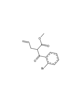 C=CCC(C(=O)OC)C(=O)c1ccccc1Br